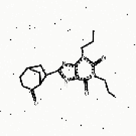 CCCn1c(=O)c2[nH]c(C3CC4CCC(=O)C3C4)nc2n(CCC)c1=O